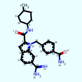 CC1CCC(NC(=O)c2cc3ccc(C(=N)N)cc3n2Cc2ccc(C(N)=O)cc2)CC1